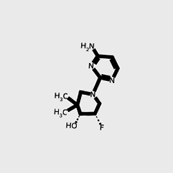 CC1(C)CN(c2nccc(N)n2)C[C@H](F)[C@@H]1O